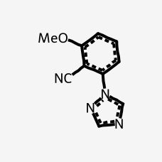 COc1cccc(-n2cncn2)c1C#N